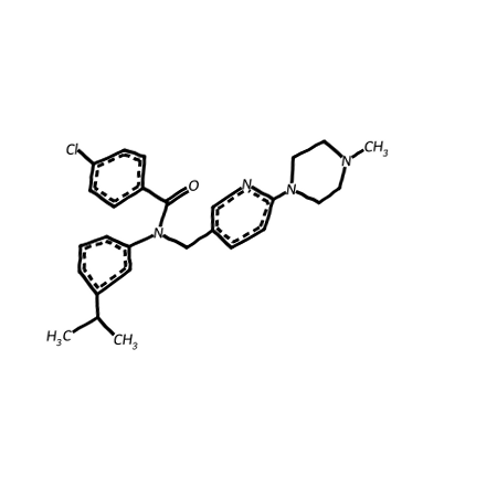 CC(C)c1cccc(N(Cc2ccc(N3CCN(C)CC3)nc2)C(=O)c2ccc(Cl)cc2)c1